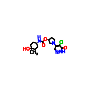 C[C@]1(O)CC[C@H](NC(=O)O[C@@H]2CCN(c3cn[nH]c(=O)c3Cl)C2)CC1